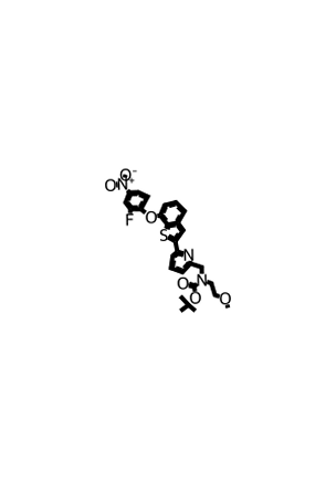 COCCN(Cc1cccc(-c2cc3cccc(Oc4ccc([N+](=O)[O-])cc4F)c3s2)n1)C(=O)OC(C)(C)C